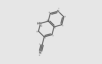 N#CC1=Cc2ccncc2NC1